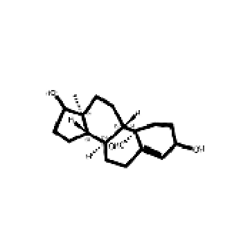 C[C@]12CC[C@H]3[C@@H](CCC4=CC(O)CC[C@@]43C=O)[C@@H]1CCC2O